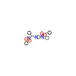 CN(CC(CCN1CCC(N(CC2CCCCC2)C(=O)OCc2ccccc2)CC1)c1ccccc1)S(=O)(=O)c1ccccc1